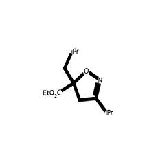 CCOC(=O)C1(CC(C)C)CC(C(C)C)=NO1